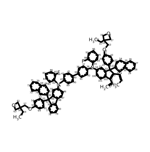 C=CC1=C(/C=C\C)C(c2ccc(OCC3(CC)COC3)cc2)(c2ccc3ccccc3c2)c2cc(N(c3ccc(-c4ccc(N(c5ccc6c(c5)C(c5ccc(OCC7(CC)COC7)cc5)(c5ccc7ccccc7c5)c5ccccc5-6)c5ccccc5F)cc4)cc3)c3ccccc3F)ccc21